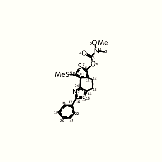 CON(C)C(=O)Oc1sc(SC)c2c1CCc1sc(-c3ccccc3)nc1-2